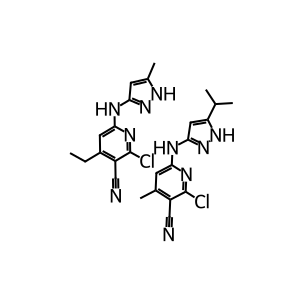 CCc1cc(Nc2cc(C)[nH]n2)nc(Cl)c1C#N.Cc1cc(Nc2cc(C(C)C)[nH]n2)nc(Cl)c1C#N